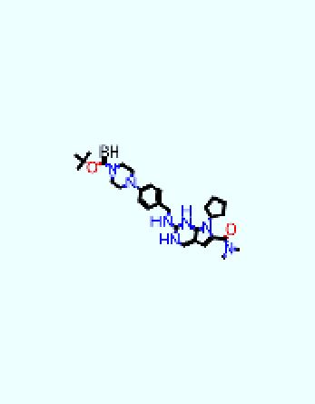 B=C(OC(C)(C)C)N1CCN(c2ccc(CNC3NC=C4C=C(C(=O)N(C)C)N(C5CCCC5)C4N3)cc2)CC1